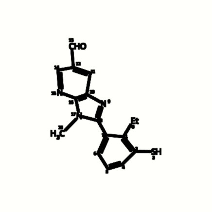 CCc1c(S)cccc1-c1nc2cc(C=O)cnc2n1C